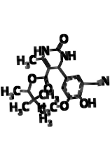 COc1cc(C2NC(=O)NC(C)=C2C(=O)OC(C)C(C)(C)C)cc(C#N)c1O